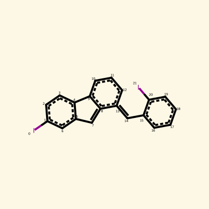 Ic1ccc2c(c1)C=c1c-2cccc1=Cc1ccccc1I